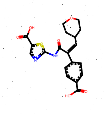 O=C(Nc1ncc(C(=O)O)s1)C(=CC1CCOCC1)c1ccc(C(=O)O)cc1